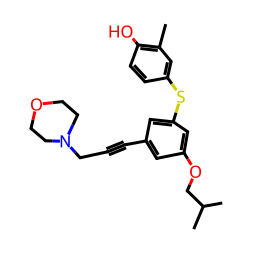 Cc1cc(Sc2cc(C#CCN3CCOCC3)cc(OCC(C)C)c2)ccc1O